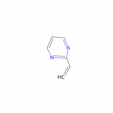 [CH]=Cc1ncccn1